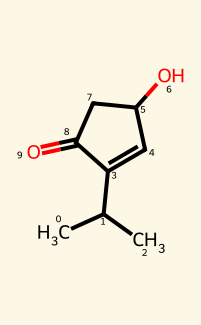 CC(C)C1=CC(O)CC1=O